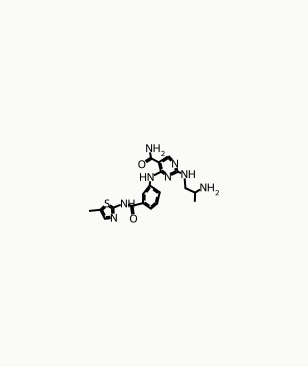 Cc1cnc(NC(=O)c2cccc(Nc3nc(NCC(C)N)ncc3C(N)=O)c2)s1